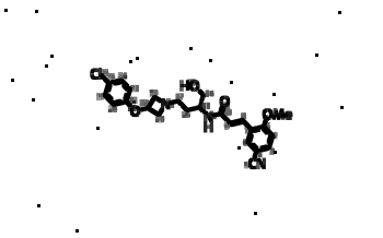 COc1ccc(C#N)cc1C=CC(=O)N[C@H](CO)CCN1CC(Oc2ccc(Cl)cc2)C1